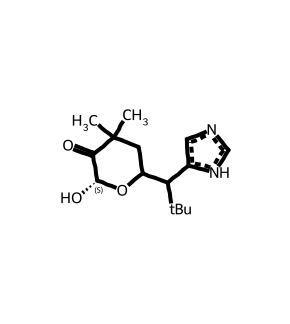 CC1(C)CC(C(c2cnc[nH]2)C(C)(C)C)O[C@H](O)C1=O